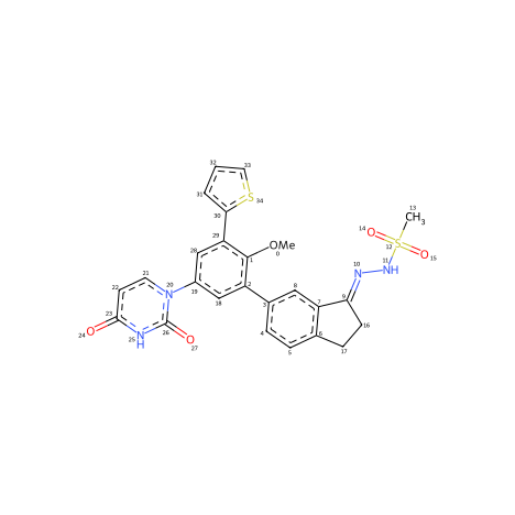 COc1c(-c2ccc3c(c2)C(=NNS(C)(=O)=O)CC3)cc(-n2ccc(=O)[nH]c2=O)cc1-c1cccs1